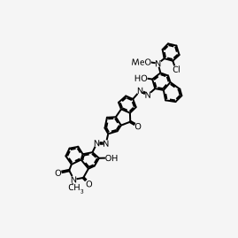 CON(c1ccccc1Cl)c1cc2ccccc2c(N=Nc2ccc3c(c2)C(=O)c2cc(N=Nc4c(O)cc5c6c(cccc46)C(=O)N(C)C5=O)ccc2-3)c1O